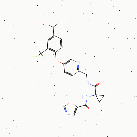 CC(O)c1ccc(Oc2ccc(CNC(=O)C3(NC(=O)c4cnco4)CC3)nc2)c(C(F)(F)F)c1